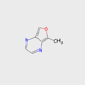 Cc1occ2nccnc12